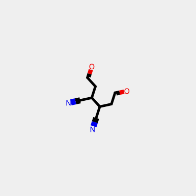 N#CC(CC=O)C(C#N)CC=O